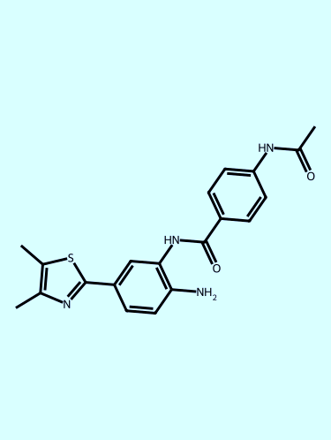 CC(=O)Nc1ccc(C(=O)Nc2cc(-c3nc(C)c(C)s3)ccc2N)cc1